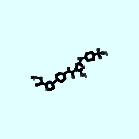 COC(=O)c1cc(-c2ccc(NC(=O)n3nc(Nc4ccc(S(N)(=O)=O)cc4)nc3N)cc2)ccn1